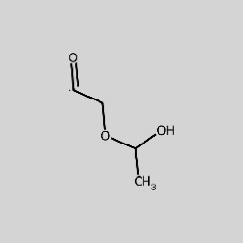 CC(O)OC[C]=O